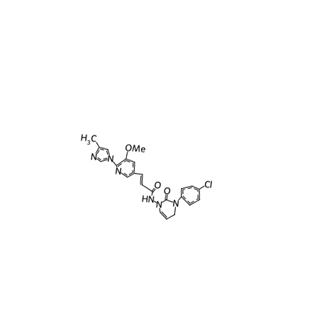 COc1cc(C=CC(=O)NN2C=CCN(c3ccc(Cl)cc3)C2=O)cnc1-n1cnc(C)c1